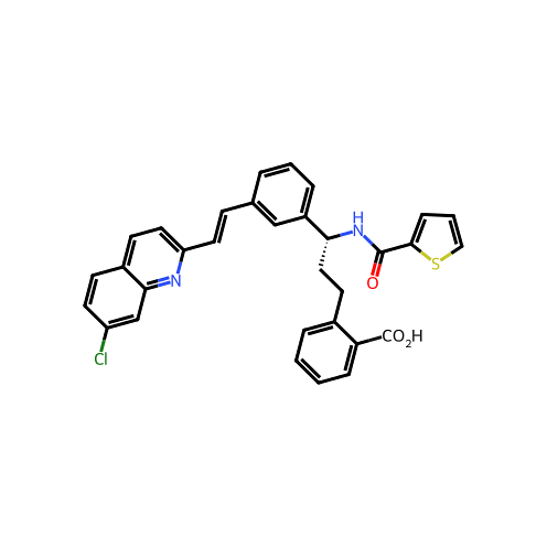 O=C(N[C@H](CCc1ccccc1C(=O)O)c1cccc(/C=C/c2ccc3ccc(Cl)cc3n2)c1)c1cccs1